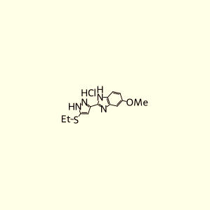 CCSc1cc(-c2nc3cc(OC)ccc3[nH]2)n[nH]1.Cl